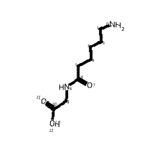 NCCCCCC(=O)NCC(=O)O